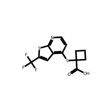 O=C(O)C1(Sc2ccnc3sc(C(F)(F)F)cc23)CCC1